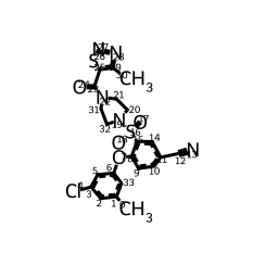 Cc1cc(Cl)cc(Oc2ccc(C#N)cc2S(=O)(=O)N2CCN(C(=O)c3snnc3C)CC2)c1